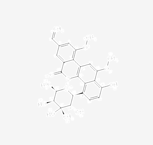 C=Cc1cc(OC)c2c(c1)c(=O)oc1c2cc(OC)c2c(O)ccc([C@@H]3O[C@H](C)[C@H](O)[C@@](C)(O)[C@H]3O)c21